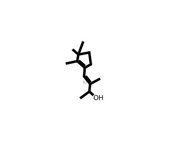 CC1=C(/C=C(\C)C(C)O)CCC1(C)C